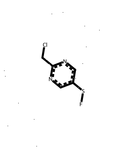 FSc1cnc(CCl)nc1